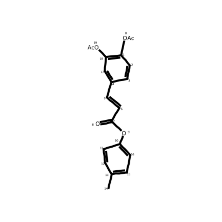 CC(=O)Oc1ccc(/C=C/C(=O)Oc2ccc(C)cc2)cc1OC(C)=O